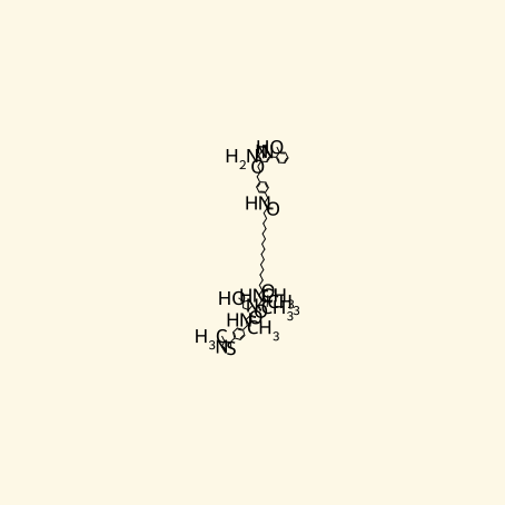 Cc1ncsc1-c1ccc([C@H](C)NC(=O)[C@@H]2C[C@@H](O)CN2C(=O)[C@@H](NC(=O)CCCCCCCCCCCCCCCC(=O)NCc2ccc(CCOc3cc(-c4ccccc4O)nnc3N)cc2)C(C)(C)C)cc1